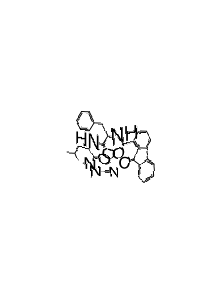 CC(C)CC(NC(=O)C(Cc1ccccc1)NC(=O)c1cccc2c1C(=O)c1ccccc1-2)C(=O)N(C)N(C)C#N